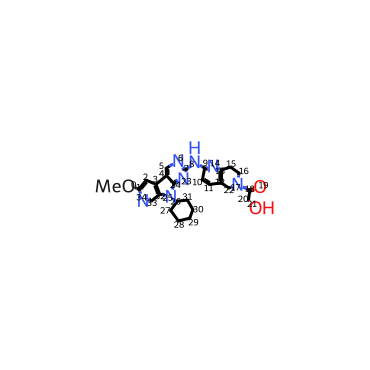 COc1cc2c3cnc(Nc4ccc5c(n4)CCN(C(=O)CO)C5)nc3n(C3CCCCC3)c2cn1